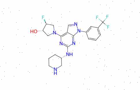 O[C@H]1CN(c2nc(N[C@H]3CCCNC3)nc3c2cnn3-c2cccc(C(F)(F)F)c2)C[C@@H]1F